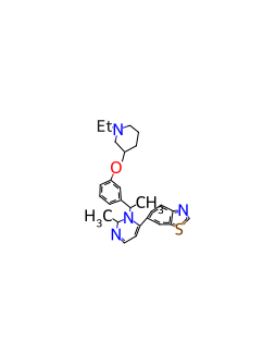 CCN1CCCC(COc2cccc(C(C)N3C(c4ccc5ncsc5c4)=CC=NC3C)c2)C1